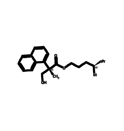 CCC[C@H](CC)CCCOC(=O)[C@](C)(CO)c1cccc2ccccc12